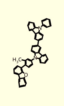 Cc1cc(-n2c3ccccc3c3cc(-c4ccc5c(c4)c4ccccc4n5-c4ccccc4)ccc32)ccc1-c1cccc2c1oc1ccccc12